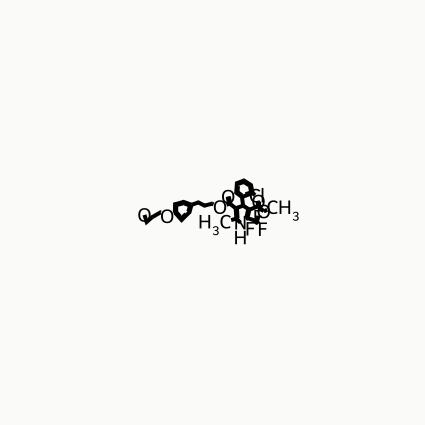 COC(=O)C1=C(C(F)(F)F)NC(C)=C(C(=O)OCCCc2ccc(OCC3CO3)cc2)C1c1ccccc1Cl